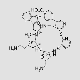 CN1C(=O)[C@H](CCCCN)NC(=O)[C@H](CCCN)NCc2cccnc2Sc2cncc(-c3ccc(C(=O)O)cc3)c2CNC(=O)[C@@H]1Cc1c[nH]c2ccccc12